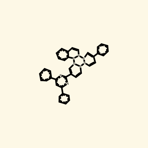 C1=CC(c2nc(-c3ccccc3)cc(-c3ccccc3)n2)=CN2B1N1C=CC(c3ccccc3)=CB1N1C=Cc3ccccc3B12